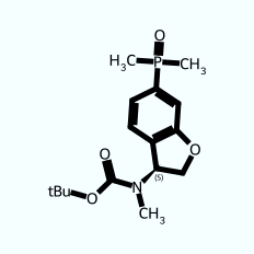 CN(C(=O)OC(C)(C)C)[C@@H]1COc2cc(P(C)(C)=O)ccc21